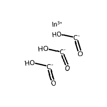 O=[C-]O.O=[C-]O.O=[C-]O.[In+3]